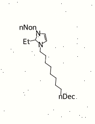 CCCCCCCCCCCCCCCCCCN1C=CN(CCCCCCCCC)C1CC